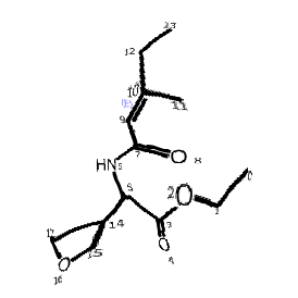 CCOC(=O)C(NC(=O)/C=C(\C)CC)C1COC1